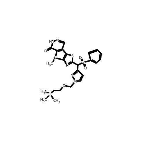 Cn1c2nc(C(c3ccn(COCC[Si](C)(C)C)n3)S(=O)(=O)c3ccccc3)sc2c2cn[nH]c(=O)c21